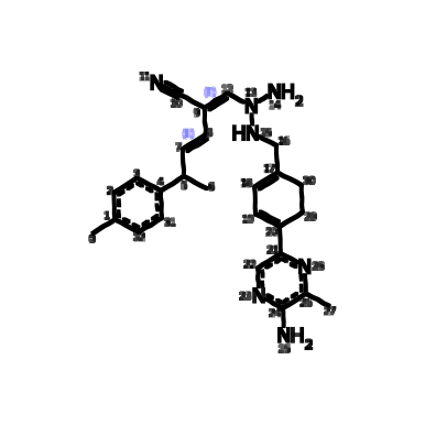 Cc1ccc(C(C)/C=C/C(C#N)=C\N(N)NCC2=CC=C(c3cnc(N)c(C)n3)CC2)cc1